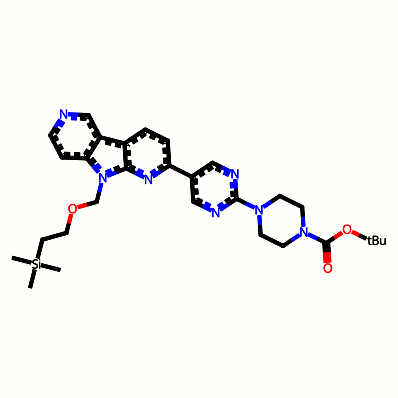 CC(C)(C)OC(=O)N1CCN(c2ncc(-c3ccc4c5cnccc5n(COCC[Si](C)(C)C)c4n3)cn2)CC1